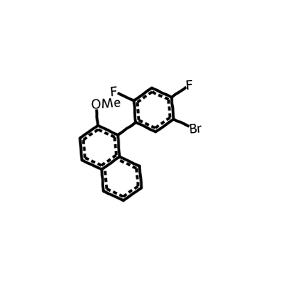 COc1ccc2ccccc2c1-c1cc(Br)c(F)cc1F